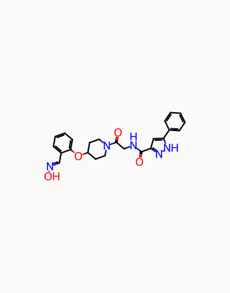 O=C(NCC(=O)N1CCC(Oc2ccccc2/C=N/O)CC1)c1cc(-c2ccccc2)[nH]n1